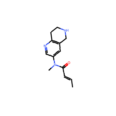 C/C=C/C(=O)N(C)c1cnc2c(c1)CNCC2